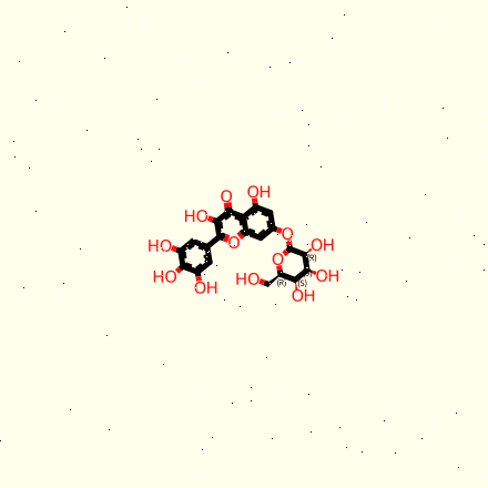 O=c1c(O)c(-c2cc(O)c(O)c(O)c2)oc2cc(OC3O[C@H](CO)[C@@H](O)[C@H](O)[C@H]3O)cc(O)c12